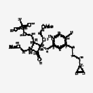 COCO[C@@]1(Cc2cc(CCCC3CC3)c(C)cn2)C(=O)N(COC)[C@H]1COS(C)(=O)=O